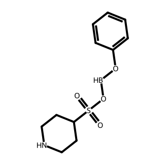 O=S(=O)(OBOc1ccccc1)C1CCNCC1